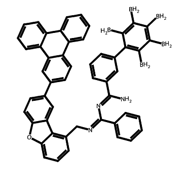 Bc1c(B)c(B)c(-c2cccc(/C(N)=N/C(=N\Cc3cccc4oc5ccc(-c6ccc7c8ccccc8c8ccccc8c7c6)cc5c34)c3ccccc3)c2)c(B)c1B